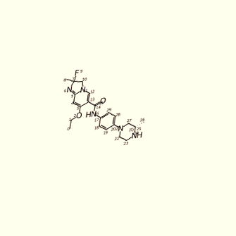 CCOC1=CC2=NC(C)(F)CN2C=C1C(=O)Nc1ccc(N2CCN[C@@H](C)C2)cc1